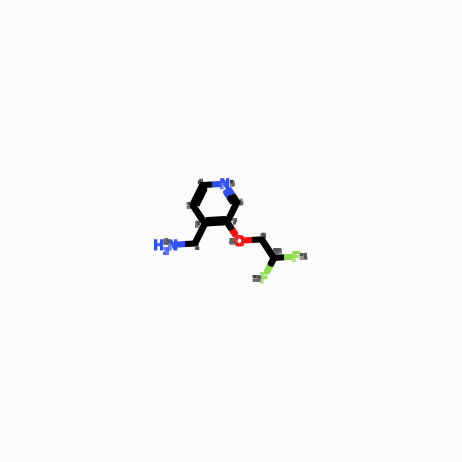 NCc1ccncc1OCC(F)F